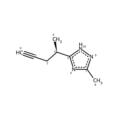 C#CC[C@@H](C)c1nc(C)n[nH]1